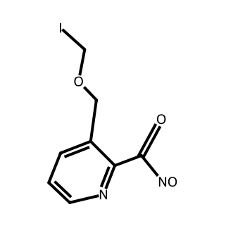 O=NC(=O)c1ncccc1COCI